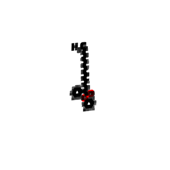 CCCCCCCCCCCCCCC(C(=O)Oc1ccccc1)c1ccccc1